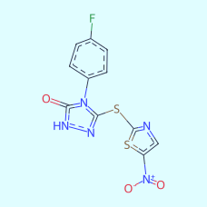 O=c1[nH]nc(Sc2ncc([N+](=O)[O-])s2)n1-c1ccc(F)cc1